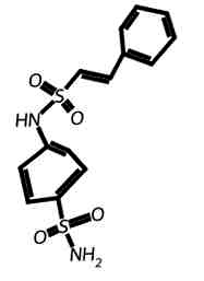 NS(=O)(=O)c1ccc(NS(=O)(=O)C=Cc2ccccc2)cc1